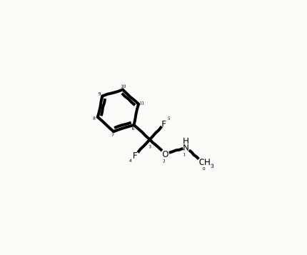 CNOC(F)(F)c1ccccc1